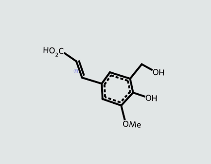 COc1cc(/C=C/C(=O)O)cc(CO)c1O